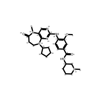 COc1cc(C(=O)NC2CCCN(C)C2)ccc1Nc1ncc2c(n1)N(C1CCCC1)CCC(=O)N2C